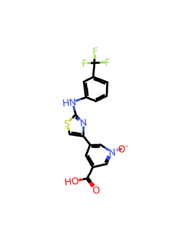 O=C(O)c1cc(-c2csc(Nc3cccc(C(F)(F)F)c3)n2)c[n+]([O-])c1